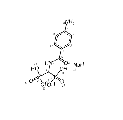 Nc1ccc(C(=O)NC(P(=O)(O)O)P(=O)(O)O)cc1.[NaH]